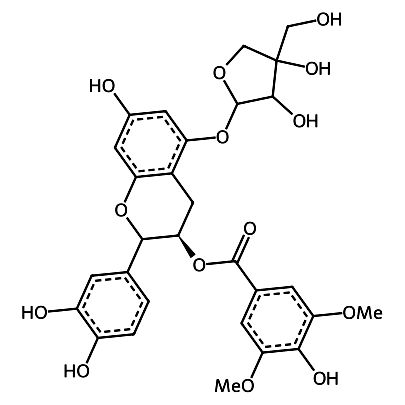 COc1cc(C(=O)O[C@@H]2Cc3c(OC4OCC(O)(CO)C4O)cc(O)cc3OC2c2ccc(O)c(O)c2)cc(OC)c1O